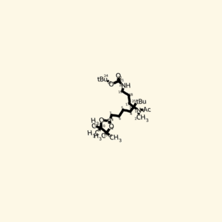 CC(=O)N(C)C(CCCCB1OC(C)(C)C(C)(C)O1)(CCCNC(=O)OC(C)(C)C)C(C)(C)C